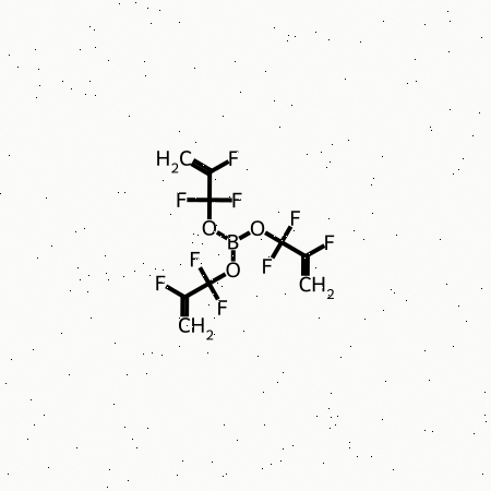 C=C(F)C(F)(F)OB(OC(F)(F)C(=C)F)OC(F)(F)C(=C)F